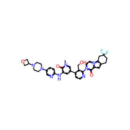 Cn1cc(-c2ccnc(-n3ccn4c5c(cc4c3=O)CCC(F)(F)C5)c2CO)cc(Nc2ccc(N3CCN(C4COC4)CC3)cn2)c1=O